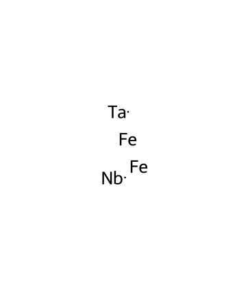 [Fe].[Fe].[Nb].[Ta]